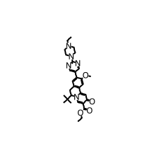 CCOC(=O)c1cn2c(cc1=O)-c1cc(OC)c(-c3cnc(N4CCN(CC)CC4)nc3)cc1CC2C(C)(C)C